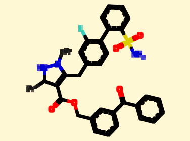 CCCN1NC(C(C)C)C(C(=O)OCc2cccc(C(=O)c3ccccc3)c2)=C1Cc1ccc(-c2ccccc2S(N)(=O)=O)c(F)c1